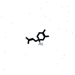 CC(=O)C1(CC=C(C)C)CCC(C)=C(C)C1